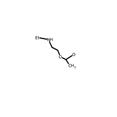 CCNCCOC(C)[O]